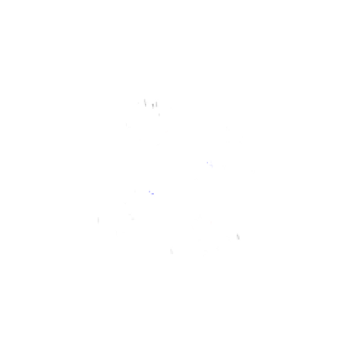 CC1(C)OB(c2cc(N3c4ccccc4[Si](C)(C)c4ccccc43)c3cc(B4OC(C)(C)C(C)(C)O4)cc(N4c5ccccc5[Si](C)(C)c5ccccc54)c3c2)OC1(C)C